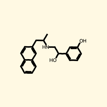 CC(Cc1ccc2ccccc2c1)NCC(O)c1cccc(O)c1